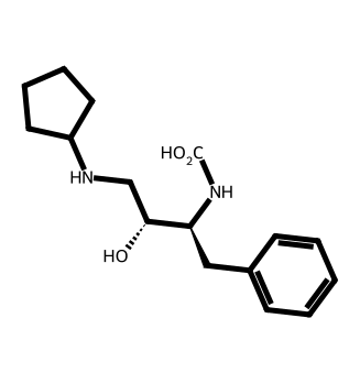 O=C(O)N[C@@H](Cc1ccccc1)[C@H](O)CNC1CCCC1